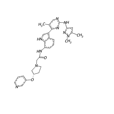 Cc1cnc(Nc2cc(C)n(C)n2)nc1-c1c[nH]c2c(NC(=O)CN3CC[C@H](Oc4cccnc4)C3)cccc12